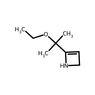 CCOC(C)(C)C1=CCN1